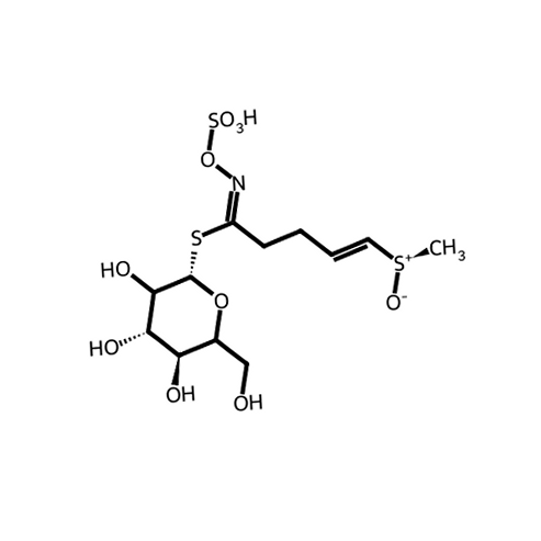 C[S@@+]([O-])/C=C/CC/C(=N/OS(=O)(=O)O)S[C@@H]1OC(CO)[C@@H](O)[C@H](O)C1O